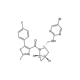 Cc1nc(C(=O)N2[C@H](CNc3ncc(Br)cn3)C[C@@H]3C[C@@H]32)c(-c2ccc(F)cc2)s1